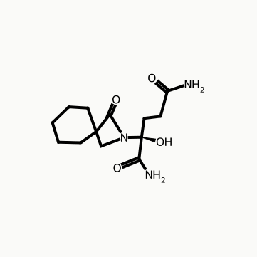 NC(=O)CC[C@](O)(C(N)=O)N1CC2(CCCCC2)C1=O